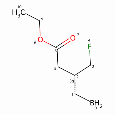 BC[C@@H](CF)CC(=O)OCC